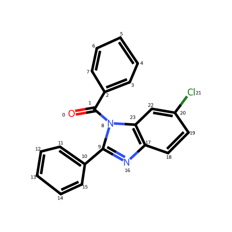 O=C(c1ccccc1)n1c(-c2ccccc2)nc2ccc(Cl)cc21